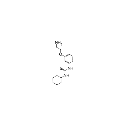 NCCOc1cccc(NC(=S)NC2CCCCC2)c1